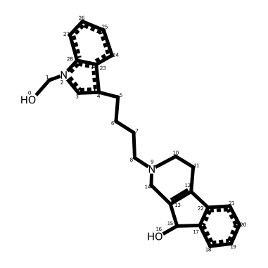 OCn1cc(CCCCN2CCC3=C(C2)C(O)c2ccccc23)c2ccccc21